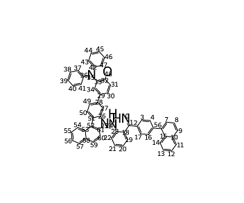 N=C(c1ccc(-c2cccc3ccccc23)cc1)c1ccccc1Nn1c2cc(-c3ccc4c(c3)N(c3ccccc3)c3ccccc3O4)ccc2c2c3ccccc3ccc21